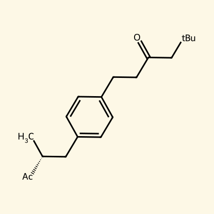 CC(=O)[C@H](C)Cc1ccc(CCC(=O)CC(C)(C)C)cc1